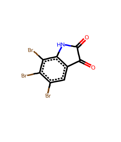 O=C1Nc2c(cc(Br)c(Br)c2Br)C1=O